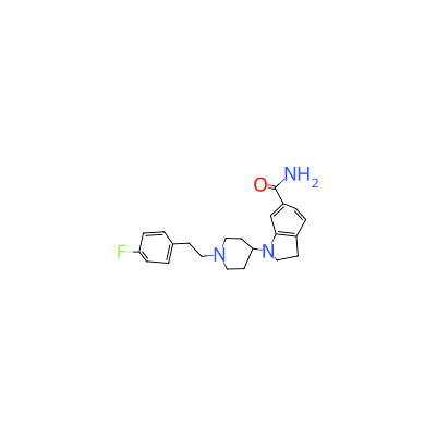 NC(=O)c1ccc2c(c1)N(C1CCN(CCc3ccc(F)cc3)CC1)CC2